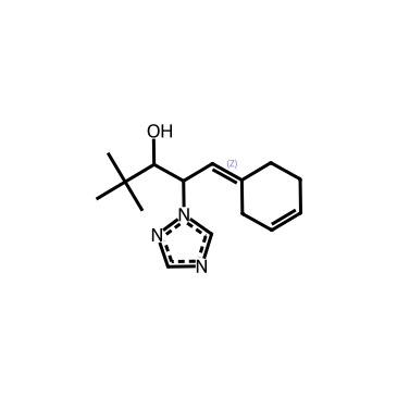 CC(C)(C)C(O)C(/C=C1\CC=CCC1)n1cncn1